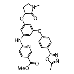 COC(=O)c1ccc(Nc2cc(Oc3ccc(-c4nnc(C)o4)cc3)cc(OC3CCN(C)C3=O)c2)nc1